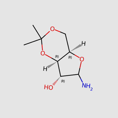 CC1(C)OC[C@H]2OC(N)[C@H](O)[C@H]2O1